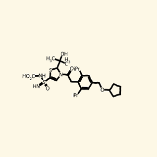 CC(C)c1cc(COC2CCCC2)cc(C(C)C)c1CC(=O)N1C=C(S(=N)(=O)NC(=O)O)SC1C(C)(C)O